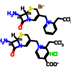 Cl.N[C@@H]1C(=O)N2C=C(C[n+]3ccc(C(=O)[O-])cc3CC(Cl)(Cl)Cl)CS[C@@H]12.N[C@@H]1C(=O)N2C=C(C[n+]3ccccc3CC(Cl)(Cl)Cl)CS[C@@H]12.[Br-]